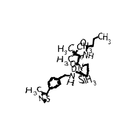 CCCC(=O)N[C@H](C(=O)N1CCC[C@@]1([SiH3])C(=O)NCc1ccc(-c2scnc2C)cc1)C(C)(C)C